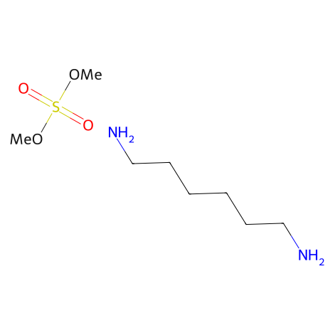 COS(=O)(=O)OC.NCCCCCCN